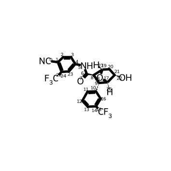 N#Cc1ccc(NC(=O)[C@@H]2[C@@H](c3cccc(C(F)(F)F)c3)[C@H]3O[C@@H]2C[C@@H]3O)cc1C(F)(F)F